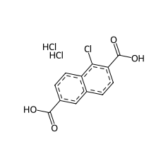 Cl.Cl.O=C(O)c1ccc2c(Cl)c(C(=O)O)ccc2c1